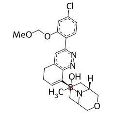 COCOc1cc(Cl)ccc1-c1cc2c(nn1)C([C@@H]1CC3COC[C@@H](C1)N3B(C)O)=CCC2